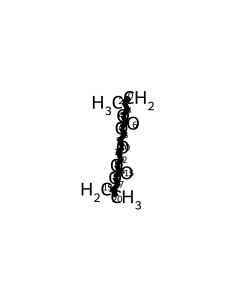 C=C(C)COC(=O)OCCOCCOC(=O)OCC(=C)C